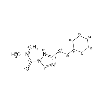 CN(C)C(=O)n1cnc(SCC2CCCCC2)n1